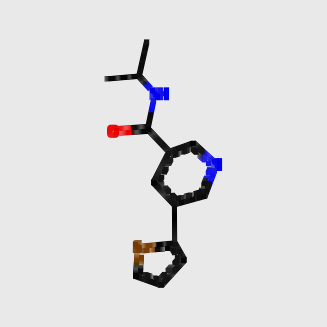 CC(C)NC(=O)c1cncc(-c2cccs2)c1